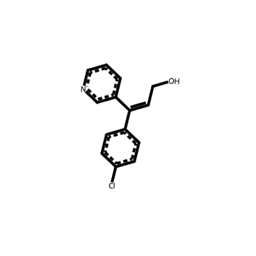 OC/C=C(/c1ccc(Cl)cc1)c1cccnc1